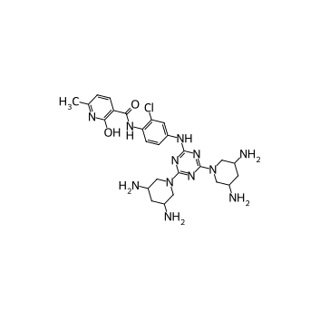 Cc1ccc(C(=O)Nc2ccc(Nc3nc(N4CC(N)CC(N)C4)nc(N4CC(N)CC(N)C4)n3)cc2Cl)c(O)n1